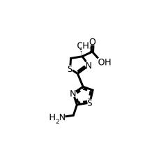 C[C@@]1(C(=O)O)CSC(c2csc(CN)n2)=N1